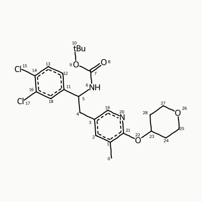 Cc1cc(CC(NC(=O)OC(C)(C)C)c2ccc(Cl)c(Cl)c2)cnc1OC1CCOCC1